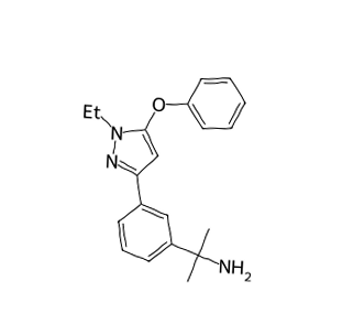 CCn1nc(-c2cccc(C(C)(C)N)c2)cc1Oc1ccccc1